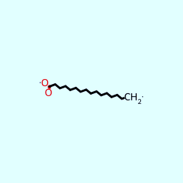 [CH2]CCCCCCCCCCCCCCC([O])=O